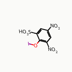 O=[N+]([O-])c1cc([N+](=O)[O-])c(OI)c(S(=O)(=O)O)c1